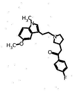 COc1ccc2c(c1)c(CCN1CCC(CC(=O)c3ccc(F)cc3)C1)cn2C